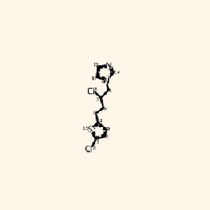 Clc1ccc(CCC(Cl)Cn2ccnc2)s1